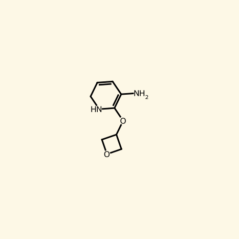 NC1=C(OC2COC2)NCC=C1